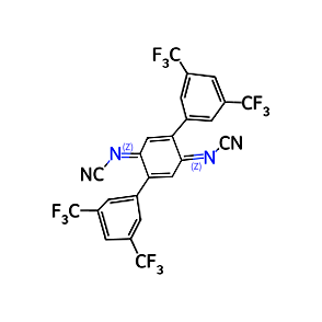 N#C/N=C1C=C(c2cc(C(F)(F)F)cc(C(F)(F)F)c2)/C(=N\C#N)C=C/1c1cc(C(F)(F)F)cc(C(F)(F)F)c1